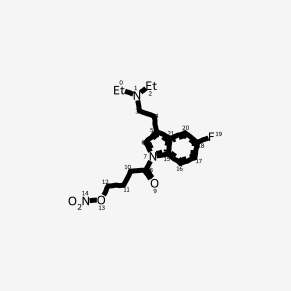 CCN(CC)CCc1cn(C(=O)CCCO[N+](=O)[O-])c2ccc(F)cc12